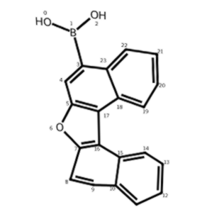 OB(O)c1cc2oc3ccc4ccccc4c3c2c2ccccc12